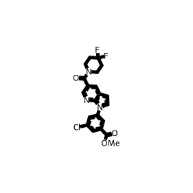 COC(=O)c1cc(Cl)cc(-n2ccc3cc(C(=O)N4CCC(F)(F)CC4)cnc32)c1